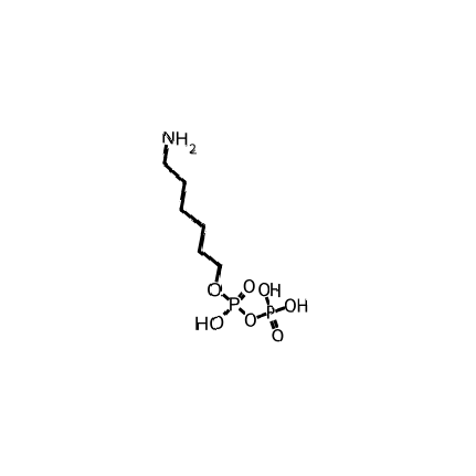 NCCCCCCOP(=O)(O)OP(=O)(O)O